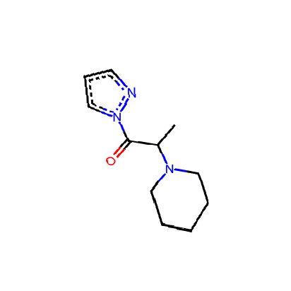 CC(C(=O)n1cccn1)N1CCCCC1